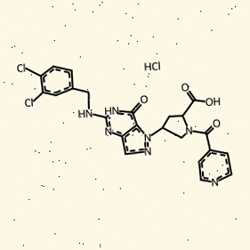 Cl.O=C(O)C1CC(n2ncc3nc(NCc4ccc(Cl)c(Cl)c4)[nH]c(=O)c32)CN1C(=O)c1ccncc1